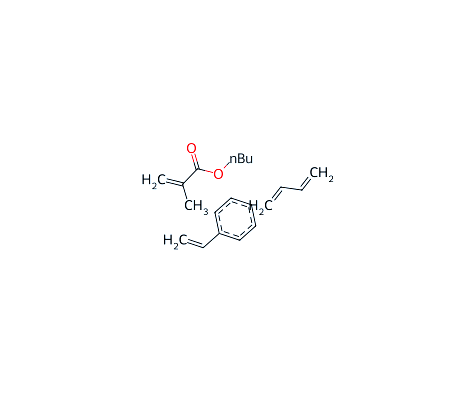 C=C(C)C(=O)OCCCC.C=CC=C.C=Cc1ccccc1